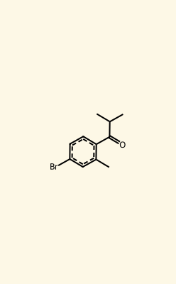 Cc1cc(Br)ccc1C(=O)C(C)C